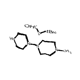 CC(C)(C)OC=O.CN1CCN(N2CCNCC2)CC1